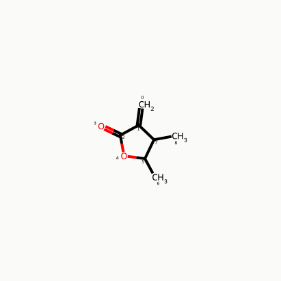 C=C1C(=O)OC(C)C1C